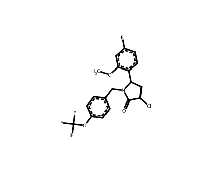 COc1cc(F)ccc1C1CC(Cl)C(=O)N1Cc1ccc(OC(F)(F)F)cc1